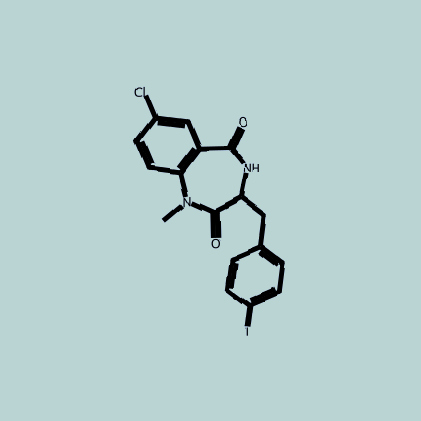 CN1C(=O)C(Cc2ccc(I)cc2)NC(=O)c2cc(Cl)ccc21